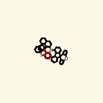 c1ccc(C(c2ccccc2)c2c(N(c3cccc4c3-c3ccccc3C43c4ccccc4Oc4ccccc43)c3cccc4sc5ccccc5c34)ccc3ccccc23)cc1